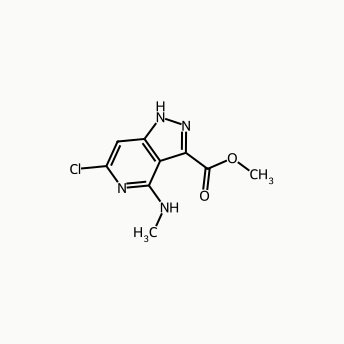 CNc1nc(Cl)cc2[nH]nc(C(=O)OC)c12